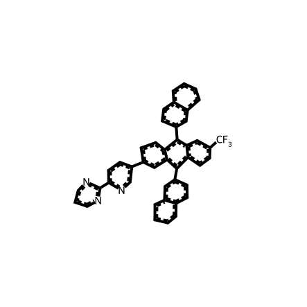 FC(F)(F)c1ccc2c(-c3ccc4ccccc4c3)c3cc(-c4ccc(-c5ncccn5)nc4)ccc3c(-c3ccc4ccccc4c3)c2c1